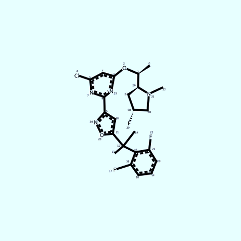 C[C@H](Oc1cc(Cl)nc(-c2cc(C(C)(C)c3c(F)cccc3F)on2)n1)[C@@H]1C[C@@H](F)CN1C